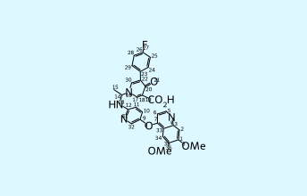 COc1cc2nccc(Oc3ccc(NC(C)n4cc(C(=O)O)c(=O)c(-c5ccc(F)cc5)c4)nc3)c2cc1OC